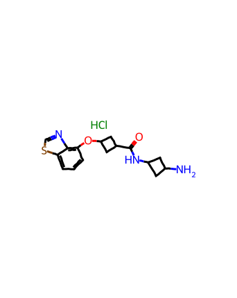 Cl.NC1CC(NC(=O)C2CC(Oc3cccc4scnc34)C2)C1